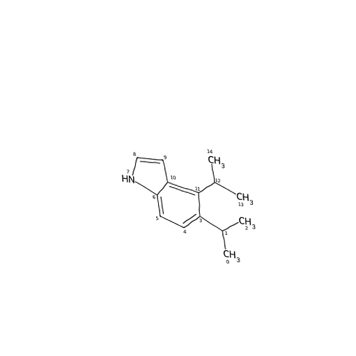 CC(C)c1ccc2[nH]ccc2c1C(C)C